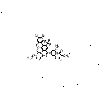 C=CC(=O)N1[C@H](C)CN(C2=NC(=C)N3c4c2cc(C(F)(F)F)c(-c2cc(Br)c(Cl)cc2F)c4SC[C@@H]3COC)C[C@@H]1C